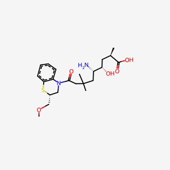 COC[C@H]1CN(C(=O)CC(C)(C)C[C@H](N)[C@@H](O)C[C@@H](C)C(=O)O)c2ccccc2S1